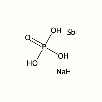 O=P(O)(O)O.[NaH].[Sb]